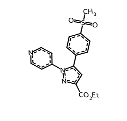 CCOC(=O)c1cc(-c2ccc(S(C)(=O)=O)cc2)n(-c2ccncc2)n1